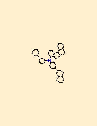 c1ccc(-c2cccc(N(c3ccc(-c4ccc5ccccc5c4)cc3)c3cccc4c3ccc3ccc5ccccc5c34)c2)cc1